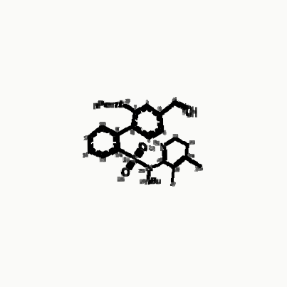 CCCCCc1cc(CO)ccc1-c1ccccc1S(=O)(=O)N(CCCC)C1=NCCC(C)=C1C